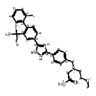 COCCN(CC(=O)O)Cc1ccc(-c2noc(-c3ccc(-c4ccccc4C)c(C(F)(F)F)c3)n2)cc1